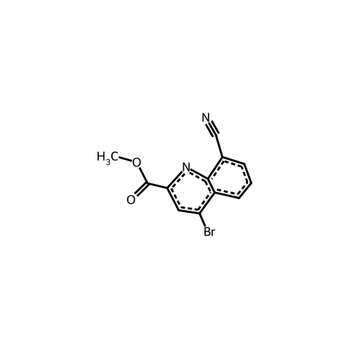 COC(=O)c1cc(Br)c2cccc(C#N)c2n1